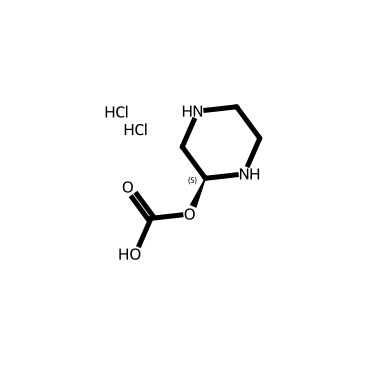 Cl.Cl.O=C(O)O[C@H]1CNCCN1